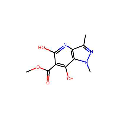 COC(=O)c1c(O)nc2c(C)nn(C)c2c1O